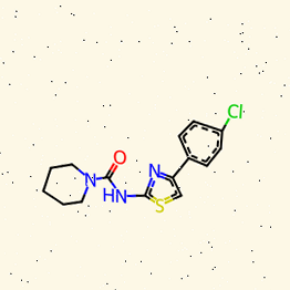 O=C(Nc1nc(-c2ccc(Cl)cc2)cs1)N1CCCCC1